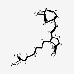 O=C(O)CCCCCCC1C(=O)CCC1C=Cc1cccc(Cl)c1